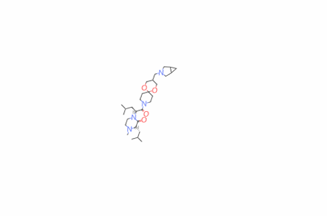 CC(C)C[C@H]1C(=O)N([C@@H](CC(C)C)C(=O)N2CCC3(CC2)OCC(CN2CC4CC4C2)CO3)CCN1C